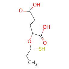 CCC(S)OC(CCC(=O)O)C(=O)O